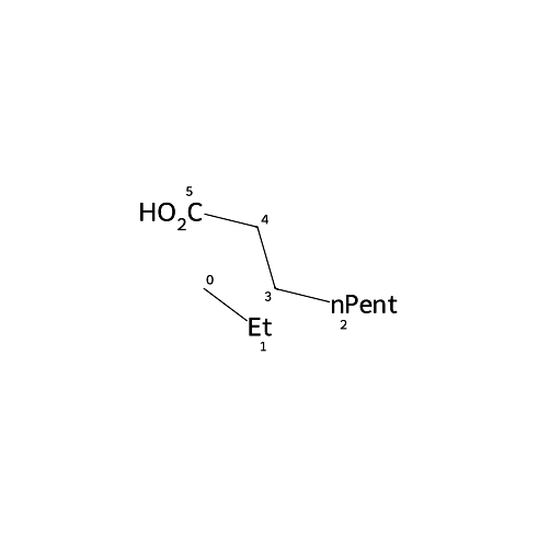 CCC.CCCCCCCC(=O)O